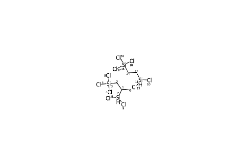 CC(C[Si](Cl)(Cl)Cl)[SiH](Cl)Cl.Cl[SiH](Cl)CC[Si](Cl)(Cl)Cl